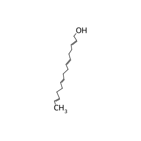 C/C=C/CC/C=C/CC/C=C/CC/C=C/CO